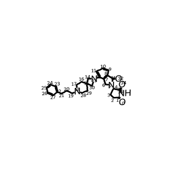 O=C1CCC(N2Cc3c(cccc3N3CC4(CCN(CCCc5ccccc5)CC4)C3)C2=O)C(=O)N1